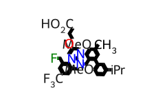 COc1cc(CN(Cc2cc(CF)cc(C(F)(F)F)c2)c2ncc(OCCCC(=O)O)cn2)c(-c2cc(C(C)C)ccc2OC)cc1C